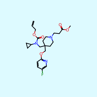 C=CCOC(=O)N(CC1(COc2ccc(F)cn2)CCN(CCC(=O)OC)CC1)C1CC1